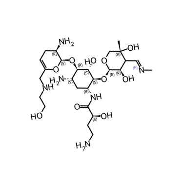 C/N=C/C1[C@@H](O)[C@@H](O[C@@H]2[C@@H](O)[C@H](O[C@H]3OC(CNCCO)=CC[C@H]3N)[C@@H](N)C[C@H]2NC(=O)[C@@H](O)CCN)OC[C@]1(C)O